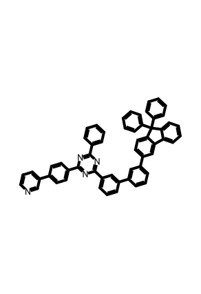 c1ccc(-c2nc(-c3ccc(-c4cccnc4)cc3)nc(-c3cccc(-c4cccc(-c5ccc6c(c5)-c5ccccc5C6(c5ccccc5)c5ccccc5)c4)c3)n2)cc1